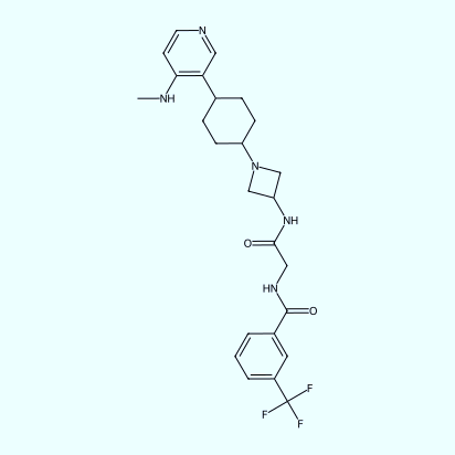 CNc1ccncc1C1CCC(N2CC(NC(=O)CNC(=O)c3cccc(C(F)(F)F)c3)C2)CC1